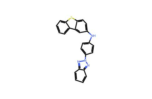 c1ccc2nn(-c3ccc(Nc4ccc5sc6ccccc6c5c4)cc3)nc2c1